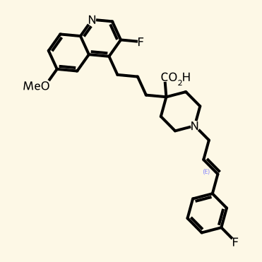 COc1ccc2ncc(F)c(CCCC3(C(=O)O)CCN(C/C=C/c4cccc(F)c4)CC3)c2c1